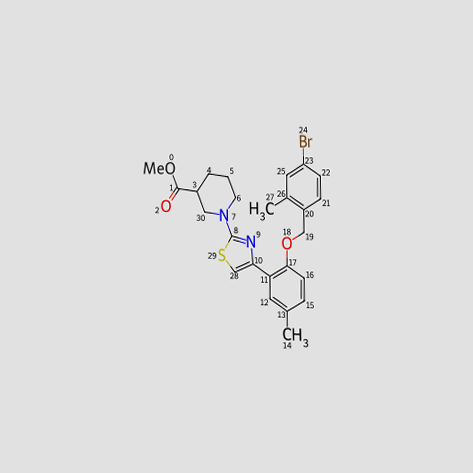 COC(=O)C1CCCN(c2nc(-c3cc(C)ccc3OCc3ccc(Br)cc3C)cs2)C1